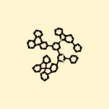 c1ccc(-c2ccc3c4ccccc4n(-c4cc(-c5ccc6c7ccccc7c7ccccc7c6c5)cc(-c5cc(-c6ccc7c(c6)C6(c8ccccc8-c8ccccc86)c6ccccc6-7)nc(-c6ccccc6)n5)c4)c3c2)cc1